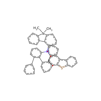 C[Si]1(C)c2ccccc2-c2c(N(c3ccc4sc5ccccc5c4c3)c3cccc(-c4ccccc4)c3-c3ccccc3-c3ccccc3)cccc21